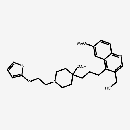 COc1ccc2ncc(CO)c(CCCC3(C(=O)O)CCN(CCSc4cccs4)CC3)c2c1